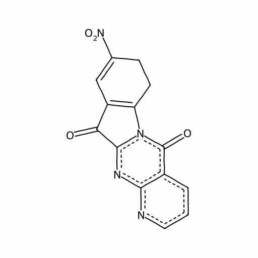 O=C1C2=C(CCC([N+](=O)[O-])=C2)n2c1nc1ncccc1c2=O